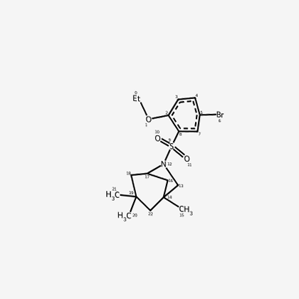 CCOc1ccc(Br)cc1S(=O)(=O)N1CC2(C)CC1CC(C)(C)C2